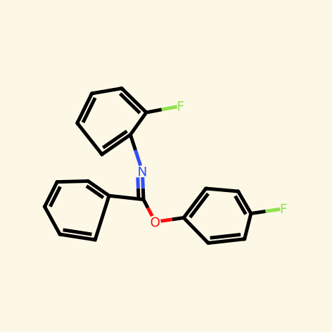 Fc1ccc(OC(=Nc2ccccc2F)c2ccccc2)cc1